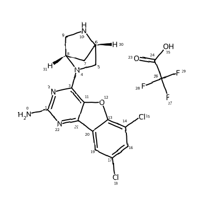 Nc1nc(N2C[C@@H]3C[C@H]2CN3)c2oc3c(Cl)cc(Cl)cc3c2n1.O=C(O)C(F)(F)F